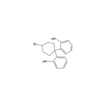 CCCc1ccccc1C1(c2ccccc2CCC)CCC(CC)CC1